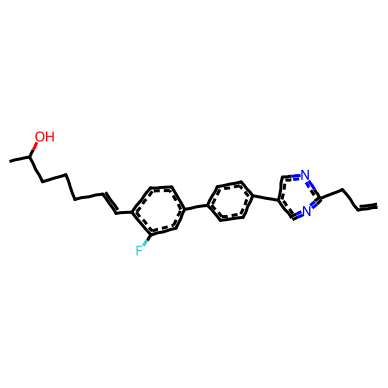 C=CCc1ncc(-c2ccc(-c3ccc(/C=C/CCCC(C)O)c(F)c3)cc2)cn1